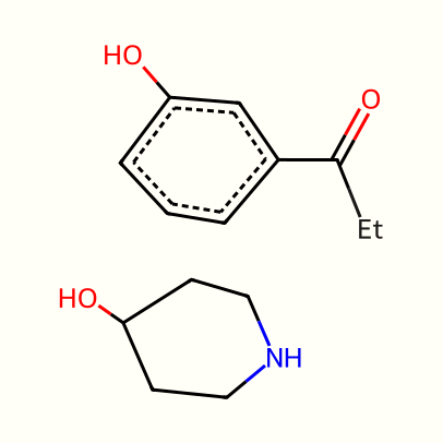 CCC(=O)c1cccc(O)c1.OC1CCNCC1